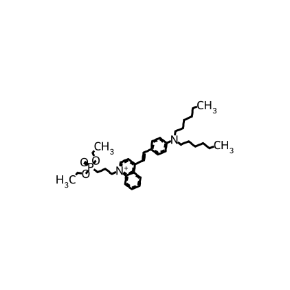 CCCCCCN(CCCCCC)c1ccc(C=Cc2cc[n+](CCCP(=O)(OCC)OCC)c3ccccc23)cc1